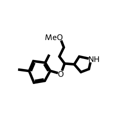 COCCC(Oc1ccc(C)cc1C)C1CCNC1